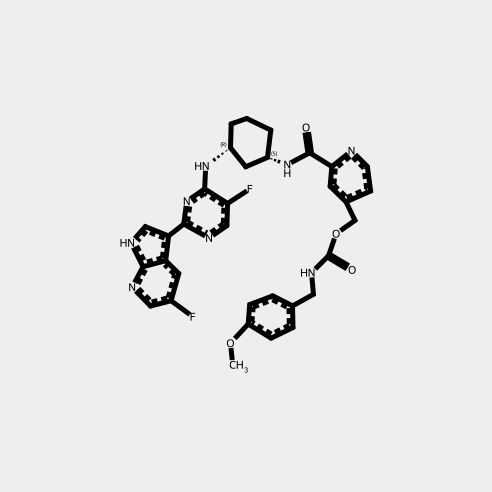 COc1ccc(CNC(=O)OCc2ccnc(C(=O)N[C@H]3CCC[C@@H](Nc4nc(-c5c[nH]c6ncc(F)cc56)ncc4F)C3)c2)cc1